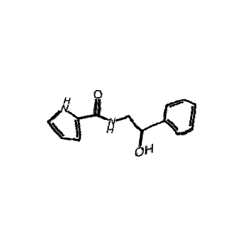 O=C(NCC(O)c1ccccc1)c1ccc[nH]1